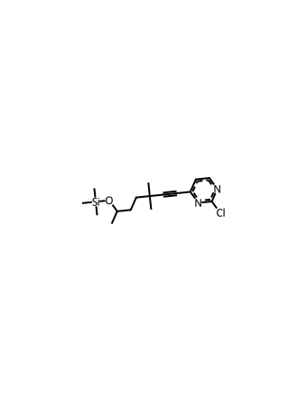 CC(CCC(C)(C)C#Cc1ccnc(Cl)n1)O[Si](C)(C)C